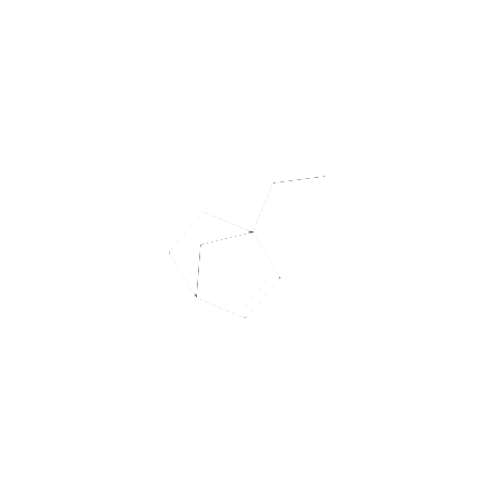 CCC12C=CC(CC1)C2